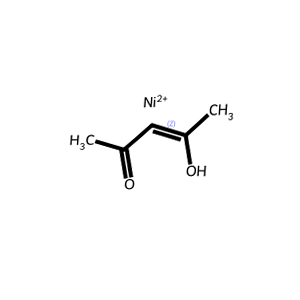 CC(=O)/C=C(/C)O.[Ni+2]